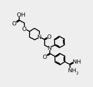 N=C(N)c1ccc(C(=O)N(CC(=O)N2CCC(OCC(=O)O)CC2)c2ccccc2)cc1